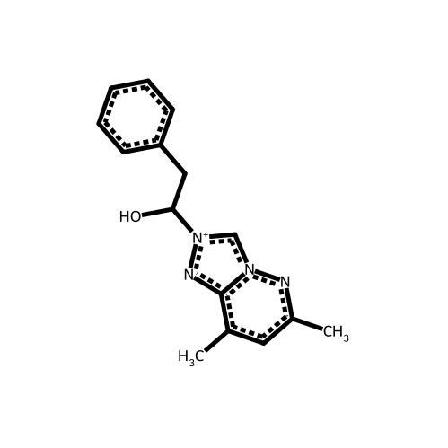 Cc1cc(C)c2n[n+](C(O)Cc3ccccc3)cn2n1